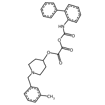 Cc1cccc(CN2CCC(OC(=O)C(=O)OC(=O)Nc3ccccc3-c3ccccc3)CC2)c1